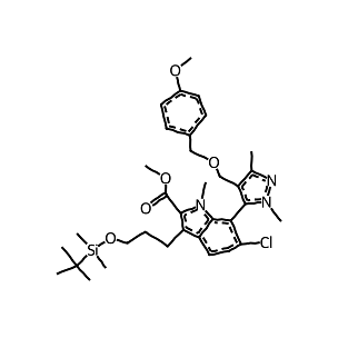 COC(=O)c1c(CCCO[Si](C)(C)C(C)(C)C)c2ccc(Cl)c(-c3c(COCc4ccc(OC)cc4)c(C)nn3C)c2n1C